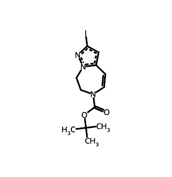 CC(C)(C)OC(=O)N1C=Cc2cc(I)nn2CC1